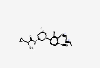 C/C=C/C=N\c1c(C#N)ccc(N2C[C@@H](C)C[C@@H](NC(=O)C(N)C3CC3)C2)c1C